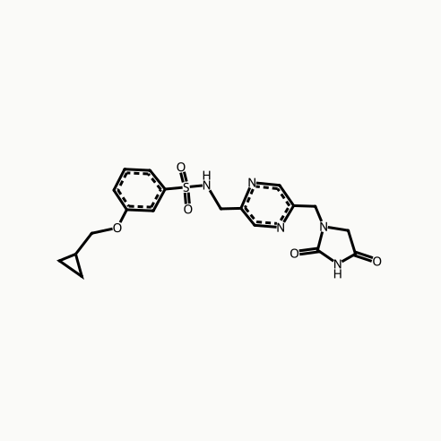 O=C1CN(Cc2cnc(CNS(=O)(=O)c3cccc(OCC4CC4)c3)cn2)C(=O)N1